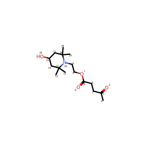 CC(=O)CCC(=O)OCCN1C(C)(C)CC(O)CC1(C)C